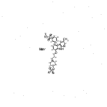 Cc1cnc2[nH]c3c(OCCCN4CCC(OP(=O)([O-])[O-])CC4)ccc(-c4cccc(S(=O)(=O)C5CC5)c4)c3c2c1.[Na+].[Na+]